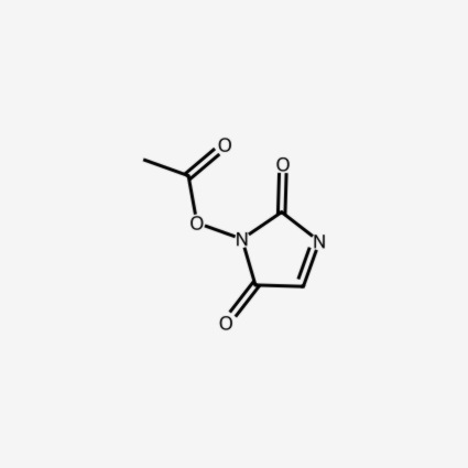 CC(=O)ON1C(=O)C=NC1=O